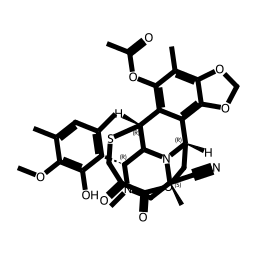 COc1c(C)cc(C)c([C@@H]2C3[C@@H]4SCC(=O)C(=O)OC[C@@H](c5c6c(c(C)c(OC(C)=O)c54)OCO6)N3[C@](C)(C#N)CN2C)c1O